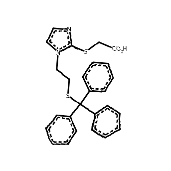 O=C(O)CSc1nccn1CCSC(c1ccccc1)(c1ccccc1)c1ccccc1